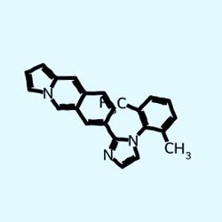 Cc1cccc(C)c1-n1ccnc1-c1ccc2cc3cccn3cc2c1